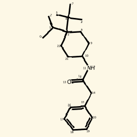 CC(C)C1(C(C)(C)C)CCC(NC(=O)Cc2ccccc2)CC1